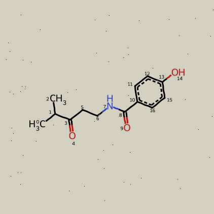 CC(C)C(=O)CCNC(=O)c1ccc(O)cc1